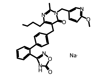 CCCCc1nc(C)n(Cc2ccc(OC)nc2)c(=O)c1Cc1ccc(-c2ccccc2-c2noc(=O)[nH]2)cc1.[Na]